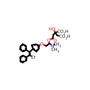 CCC(=C(c1ccccc1)c1ccc(OCC(OC(=O)CC(O)(CC(=O)O)C(=O)O)N(C)C)cc1)c1ccccc1